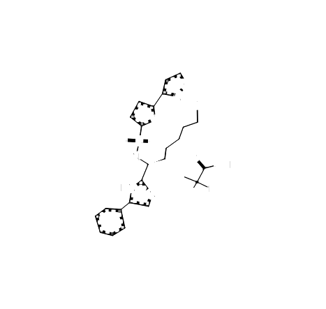 CC(=O)CCCCC[C@H](NS(=O)(=O)c1ccc(-c2ccon2)s1)c1ncc(-c2ccccc2)[nH]1.O=C(O)C(F)(F)F